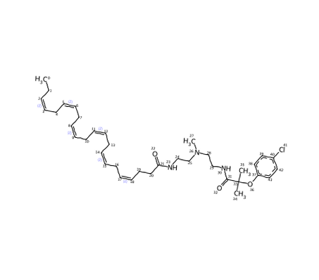 CC/C=C\C/C=C\C/C=C\C/C=C\C/C=C\C/C=C\CCC(=O)NCCN(C)CCNC(=O)C(C)(C)Oc1ccc(Cl)cc1